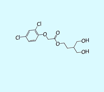 O=C(COc1ccc(Cl)cc1Cl)OCCC(CO)CO